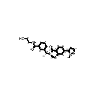 C[C@H](c1cccc(C(=O)NCCO)c1)n1cnc2cc(-c3ccnn3C)ccc2c1=O